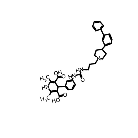 CC1=C(C(=O)O)C(c2cccc(NC(=O)NCCCN3CCC(c4cccc(-c5ccccc5)c4)CC3)c2)C(C(=O)O)=C(C)N1